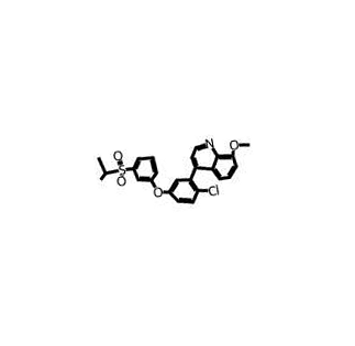 COc1cccc2c(-c3cc(Oc4cccc(S(=O)(=O)C(C)C)c4)ccc3Cl)ccnc12